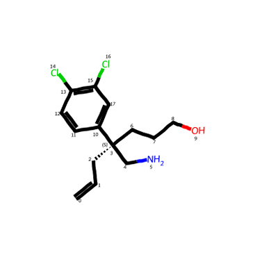 C=CC[C@@](CN)(CCCO)c1ccc(Cl)c(Cl)c1